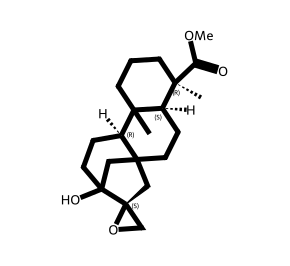 COC(=O)[C@]1(C)CCCC2(C)[C@@H]3CCC4(O)CC3(CC[C@@H]21)C[C@]41CO1